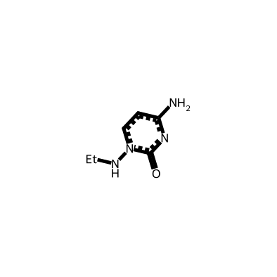 CCNn1ccc(N)nc1=O